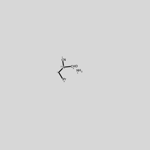 CC(C)CN(C#N)C=O.N